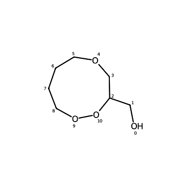 OCC1COCCCCOO1